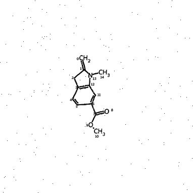 C=C1Cc2ccc(C(=O)OC)cc2N1C